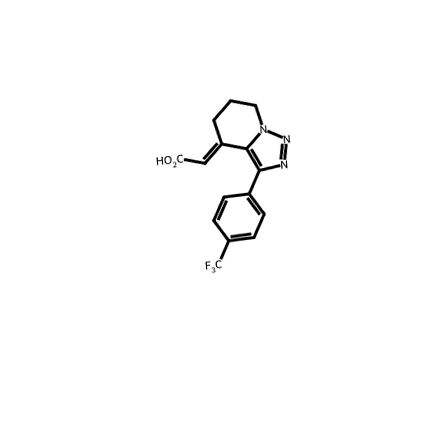 O=C(O)/C=C1\CCCn2nnc(-c3ccc(C(F)(F)F)cc3)c21